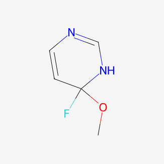 COC1(F)C=CN=CN1